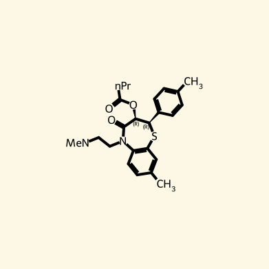 CCCC(=O)O[C@@H]1C(=O)N(CCNC)c2ccc(C)cc2S[C@@H]1c1ccc(C)cc1